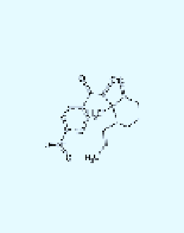 C=C(C(=O)c1ccc([N+](=O)[O-])cc1)C1(C)C(=O)CCCC1/C=C/C